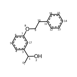 [CH2]C(O)c1cccc(OCCc2ccccc2)c1